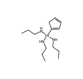 CCC[NH][Hf]([NH]CCC)([NH]CCC)[C]1=CC=CC1